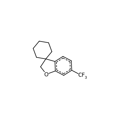 FC(F)(F)c1ccc2c(c1)OCC21CCCCC1